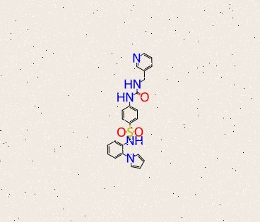 O=C(NCc1cccnc1)Nc1ccc(S(=O)(=O)Nc2ccccc2-n2cccc2)cc1